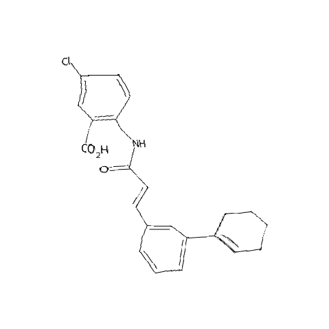 O=C(/C=C/c1cccc(C2=CCCCC2)c1)Nc1ccc(Cl)cc1C(=O)O